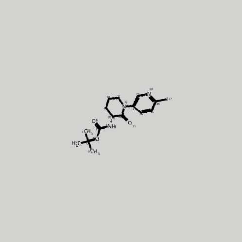 CC(C)(C)OC(=O)N[C@@H]1CCCN(c2ccc(I)nc2)C1=O